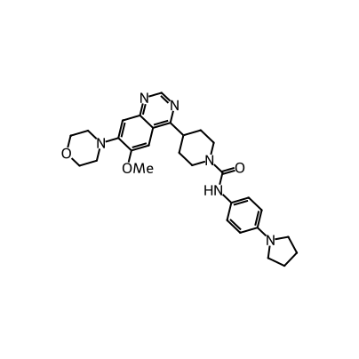 COc1cc2c(C3CCN(C(=O)Nc4ccc(N5CCCC5)cc4)CC3)ncnc2cc1N1CCOCC1